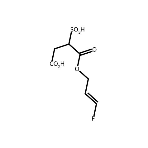 O=C(O)CC(C(=O)OCC=CF)S(=O)(=O)O